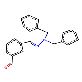 O=Cc1cccc(/C=N/N(Cc2ccccc2)Cc2ccccc2)c1